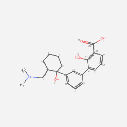 CN(C)CC1CCCCC1(O)c1cccc(-c2cccc(C(=O)O)c2O)c1